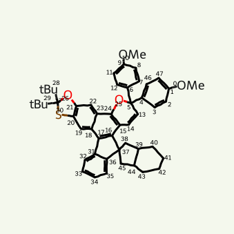 COc1ccc(C2(c3ccc(OC)cc3)C=Cc3c4c(c5cc6c(cc5c3O2)OC(C(C)(C)C)(C(C)(C)C)S6)-c2ccccc2C42CC3CCCCC3C2)cc1